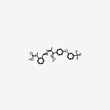 CON=C(C(C)=NN=Cc1ccccc1N(C)C(=O)OC)c1ccc(Oc2cccc(C(F)(F)F)c2)cc1